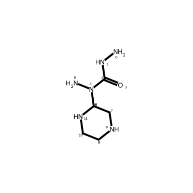 NNC(=O)N(N)C1CNCCN1